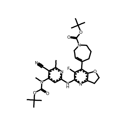 Cc1nc(Nc2nc3c(c(C4=CCN(C(=O)OC(C)(C)C)CCC4)c2F)OCC3)cc(N(C)C(=O)OC(C)(C)C)c1C#N